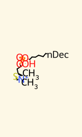 CCCCCCCCCCCCCCCCOP(=O)(O)OCCc1sc[n+](C)c1C